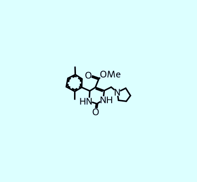 COC(=O)C1=C(CN2CCCC2)NC(=O)NC1c1cc(C)ccc1C